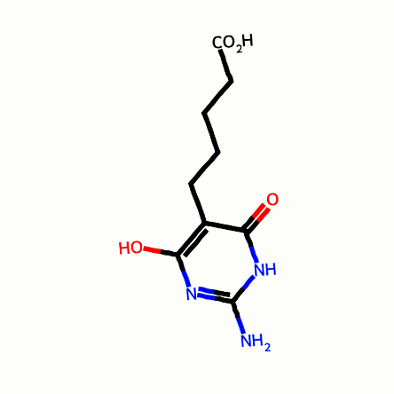 Nc1nc(O)c(CCCCC(=O)O)c(=O)[nH]1